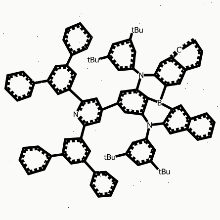 CC(C)(C)c1cc(N2c3cc4ccccc4cc3B3c4cc5ccccc5cc4N(c4cc(C(C)(C)C)cc(C(C)(C)C)c4)c4cc(-c5cc(-c6cc(-c7ccccc7)cc(-c7ccccc7)c6)nc(-c6cc(-c7ccccc7)cc(-c7ccccc7)c6)c5)cc2c43)cc(C(C)(C)C)c1